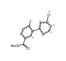 COC(=O)c1ccc(C)c(-c2ccnc(Cl)c2)c1